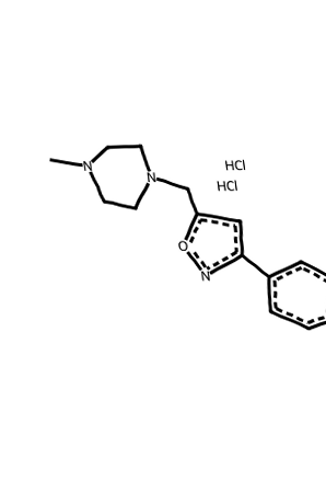 CN1CCN(Cc2cc(-c3ccccc3)no2)CC1.Cl.Cl